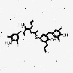 C=CCC(/C=C(\C)Sc1cc(CCC)c(O)c(Cc2cc(I)c(O)c(I)c2)c1)=C(\N)C(=C)Cc1cc(I)c(N)c(I)c1